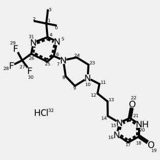 CC(C)(C)c1nc(N2CCN(CCCCn3ncc(=O)[nH]c3=O)CC2)cc(C(F)(F)F)n1.Cl